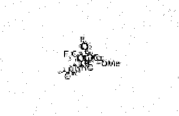 C=CC(=O)N1CCN(c2nc(=O)n3c4c(cc(C(F)(F)F)cc24)[SH](c2ccc(F)cc2)C[C@@H](OCCOC)C3)CC1